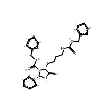 O=C(NCCCC[C@@H]1C(=O)O[C@H](c2ccccc2)N1C(=O)OCc1ccccc1)OCc1ccccc1